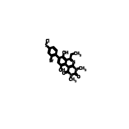 CCc1nc2c(c(=O)n(C)c(=O)n2C)c2c(O)cc(-c3ccc(SCl)cc3Br)c(O)c12